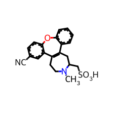 CN1CCC2=C(CC1CS(=O)(=O)O)c1ccccc1Oc1ccc(C#N)cc12